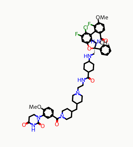 COc1ccc(C(=O)N2CCC(CC3CCN(CCNC(=O)C4CCC(NC[C@]5(c6ccccc6)Oc6cc(F)c(Cl)c(-c7c(C(N)=O)ccc(OC)c7F)c6[C@@H]5C)CC4)CC3)CC2)cc1N1CCC(=O)NC1=O